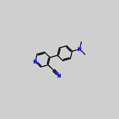 CN(C)c1ccc(-c2ccncc2C#N)cc1